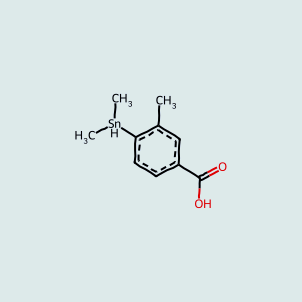 Cc1cc(C(=O)O)cc[c]1[SnH]([CH3])[CH3]